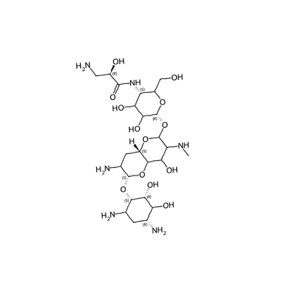 CNC1C(O[C@H]2OC(CO)[C@@H](NC(=O)[C@H](O)CN)C(O)C2O)O[C@H]2CC(N)[C@@H](O[C@H]3C(N)C[C@@H](N)C(O)[C@H]3O)OC2C1O